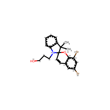 CC1(C)c2ccccc2N(CCCO)C12C=Cc1cc(Br)cc(Br)c1O2